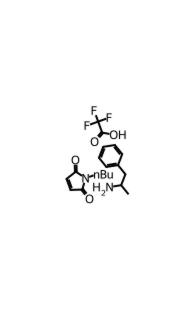 CC(N)Cc1ccccc1.CCCCN1C(=O)C=CC1=O.O=C(O)C(F)(F)F